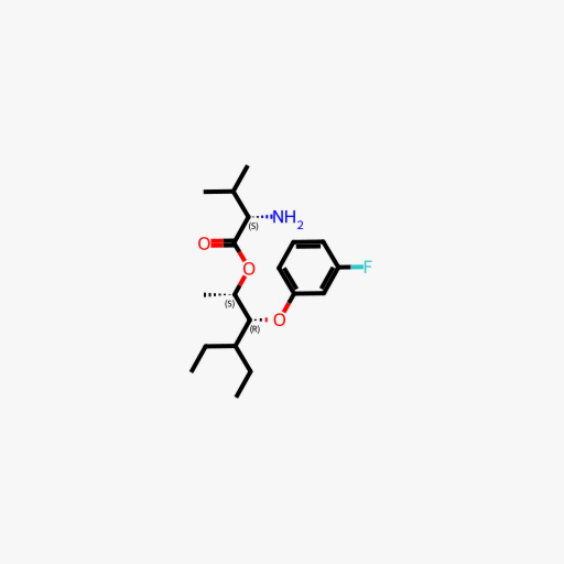 CCC(CC)[C@@H](Oc1cccc(F)c1)[C@H](C)OC(=O)[C@@H](N)C(C)C